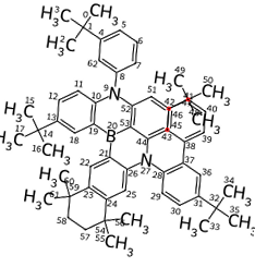 CC(C)(C)c1cccc(N2c3ccc(C(C)(C)C)cc3B3c4cc5c(cc4N(c4ccc(C(C)(C)C)cc4-c4ccccc4)c4cc(C(C)(C)C)cc2c43)C(C)(C)CCC5(C)C)c1